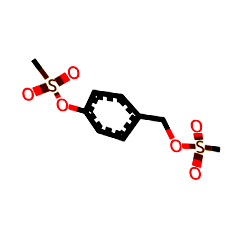 CS(=O)(=O)OCc1ccc(OS(C)(=O)=O)cc1